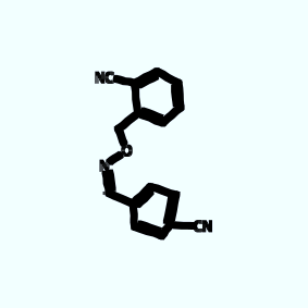 N#Cc1ccc(/[C]=N\OCc2ccccc2C#N)cc1